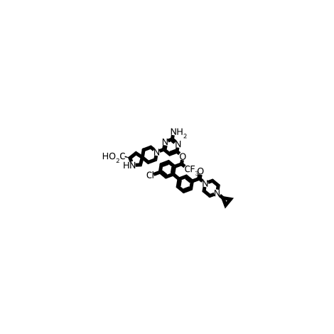 Nc1nc(OC(c2ccc(Cl)cc2-c2cccc(C(=O)N3CCN(C4CC4)CC3)c2)C(F)(F)F)cc(N2CCC3(CC2)CN[C@H](C(=O)O)C3)n1